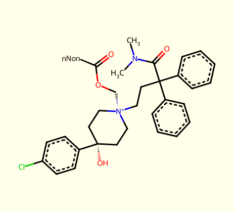 CCCCCCCCCC(=O)OC[N@+]1(CCC(C(=O)N(C)C)(c2ccccc2)c2ccccc2)CC[C@@](O)(c2ccc(Cl)cc2)CC1